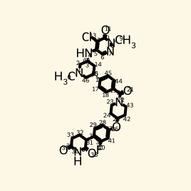 CN1C[C@H](Nc2cnn(C)c(=O)c2Cl)C[C@H](c2ccc(C(=O)N3CCC(Oc4ccc(C5CCC(=O)NC5=O)c(F)c4)CC3)cc2)C1